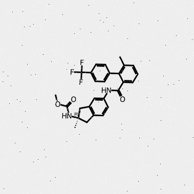 COC(=O)N[C@]1(C)Cc2ccc(NC(=O)c3cccc(C)c3-c3ccc(C(F)(F)F)cc3)cc2C1